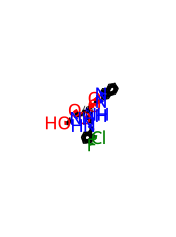 O=C(CC[C@@H](COC(=O)Nc1cc2ccccc2cn1)NC(=O)CNCc1cccc(F)c1Cl)NCCO